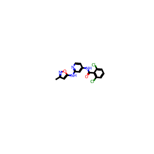 Cc1cc(Nc2cc(NC(=O)c3c(Cl)cccc3Cl)ccn2)on1